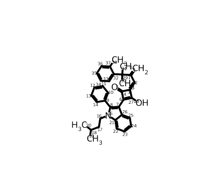 C=C(/C=C1\C(=O)C(c2c(-c3ccccc3)n(CCC(C)C)c3ccccc23)=C1O)C(C)(C)c1ccccc1C